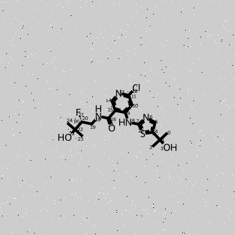 CC(C)(O)c1cnc(Nc2cc(Cl)ncc2C(=O)NC[C@@H](F)C(C)(C)O)s1